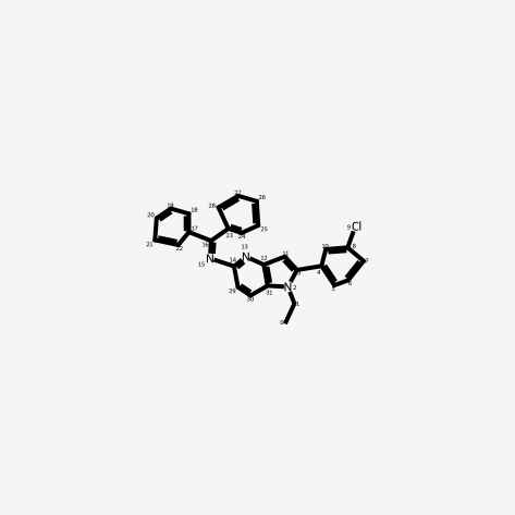 CCn1c(-c2cccc(Cl)c2)cc2nc(N=C(c3ccccc3)c3ccccc3)ccc21